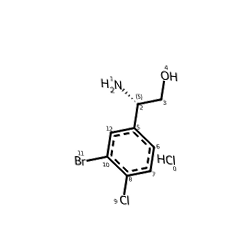 Cl.N[C@H](CO)c1ccc(Cl)c(Br)c1